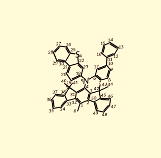 Cc1c2c(c(N(c3cccc(-c4ccccc4)c3)c3ccc4c(c3)sc3ccccc34)c3c1-c1ccccc1C3(C)C)C(C)(C)c1ccccc1-2